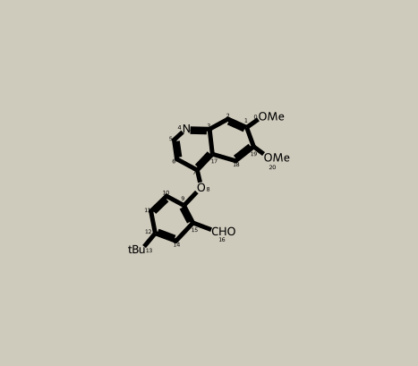 COc1cc2nccc(Oc3ccc(C(C)(C)C)cc3C=O)c2cc1OC